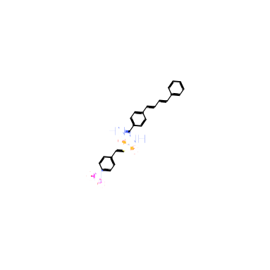 N=C(NS(=O)(=O)C=Cc1ccc([N+](=O)[O-])cc1)c1ccc(C=CC=Cc2ccccc2)cc1